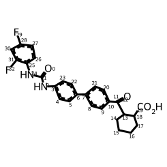 O=C(Nc1ccc(-c2ccc(C(=O)C3CCCCC3C(=O)O)cc2)cc1)Nc1ccc(F)cc1F